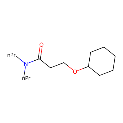 CCCN(CCC)C(=O)CCOC1CCCCC1